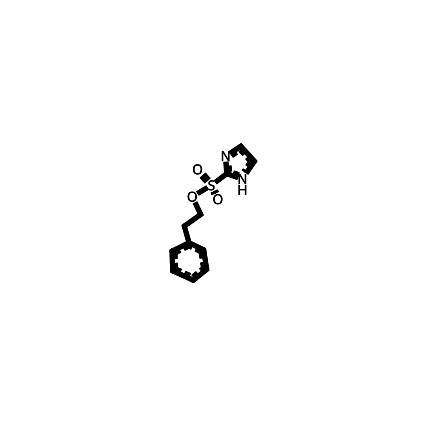 O=S(=O)(OCCc1ccccc1)c1ncc[nH]1